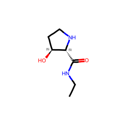 CCNC(=O)[C@H]1NCC[C@@H]1O